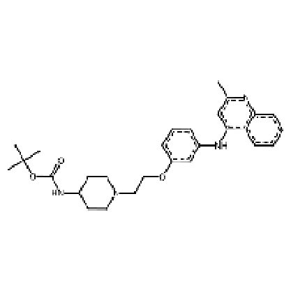 Cc1cc(Nc2cccc(OCCN3CCC(NC(=O)OC(C)(C)C)CC3)c2)c2ccccc2n1